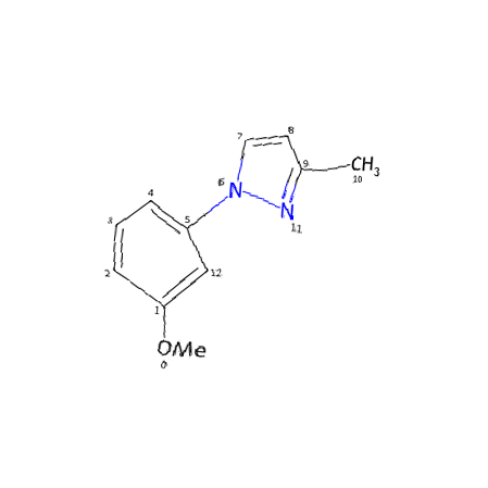 COc1cccc(-n2ccc(C)n2)c1